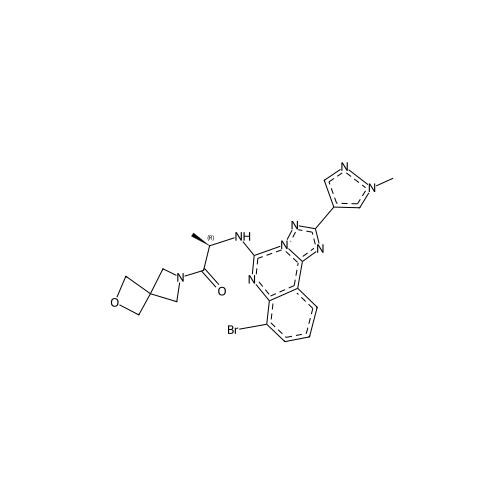 C[C@@H](Nc1nc2c(Br)cccc2c2nc(-c3cnn(C)c3)nn12)C(=O)N1CC2(COC2)C1